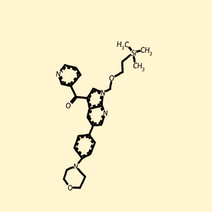 C[Si](C)(C)CCOCn1cc(C(=O)c2cccnc2)c2cc(-c3ccc(N4CCOCC4)cc3)cnc21